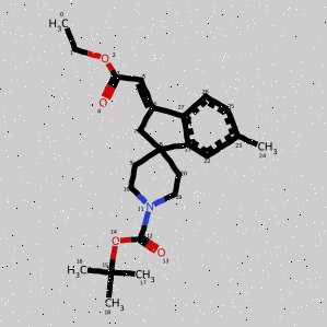 CCOC(=O)C=C1CC2(CCN(C(=O)OC(C)(C)C)CC2)c2cc(C)ccc21